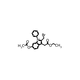 CCOC(=O)Cc1c(CBr)n(-c2ccccc2)c2cc(OC(C)=O)ccc12